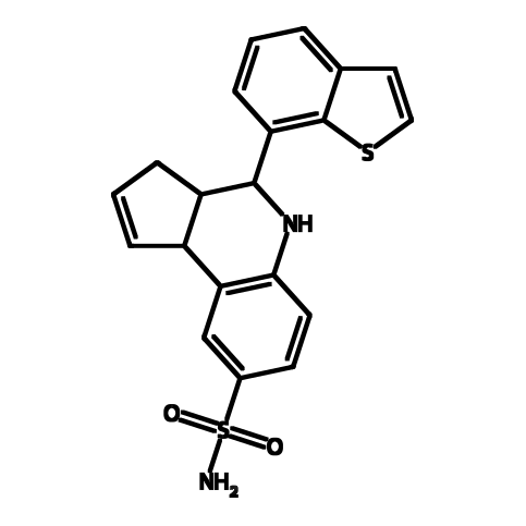 NS(=O)(=O)c1ccc2c(c1)C1C=CCC1C(c1cccc3ccsc13)N2